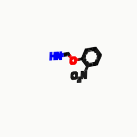 N=COc1ccccc1[N+](=O)[O-]